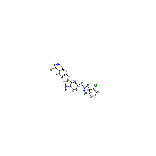 NC(=O)c1ccc(Cc2c[nH]c3ccc(CNCc4c(F)cccc4Cl)cc23)cc1